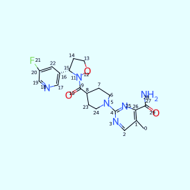 Cc1cnc(N2CCC(C(=O)N3OCC[C@H]3c3cncc(F)c3)CC2)nc1C(N)=O